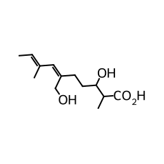 C/C=C(C)/C=C(\CO)CCC(O)C(C)C(=O)O